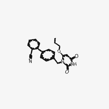 CCCOc1cc(=O)[nH]c(=O)n1Cc1ccc(-c2ccccc2C#N)cc1